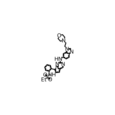 CCS(=O)(=O)Nc1ccccc1-c1ccc2cnc(Nc3ccc4ncn(CCN5CCOCC5)c4c3)nn12